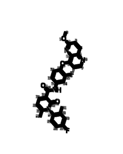 COc1ccc2nccc(Oc3ccc(NC(=O)c4ccc(C)n(-c5ccc(F)cc5C)c4=O)cc3F)c2n1